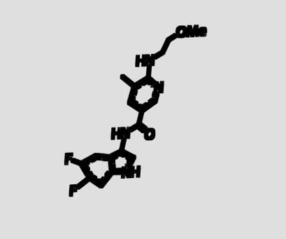 COCCNc1ncc(C(=O)Nc2c[nH]c3cc(F)c(F)cc23)cc1C